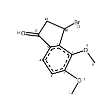 COc1ccc2c(c1OC)C(Br)CC2=O